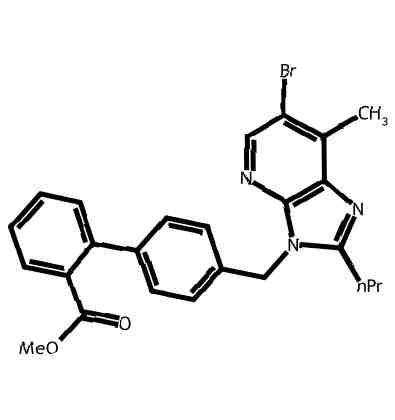 CCCc1nc2c(C)c(Br)cnc2n1Cc1ccc(-c2ccccc2C(=O)OC)cc1